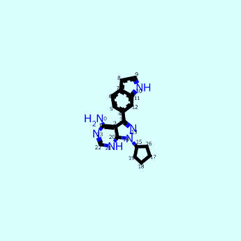 NC1=C2C(c3ccc4cc[nH]c4c3)=NN(C3CCCC3)C2NC=N1